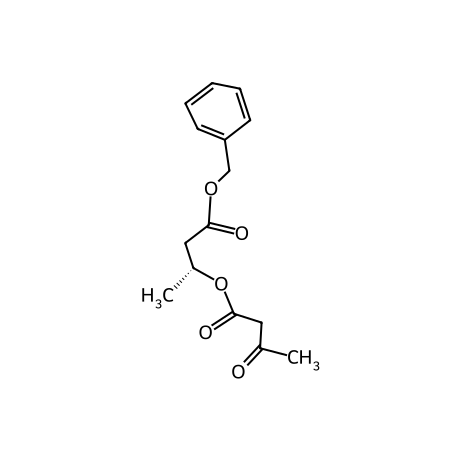 CC(=O)CC(=O)O[C@H](C)CC(=O)OCc1ccccc1